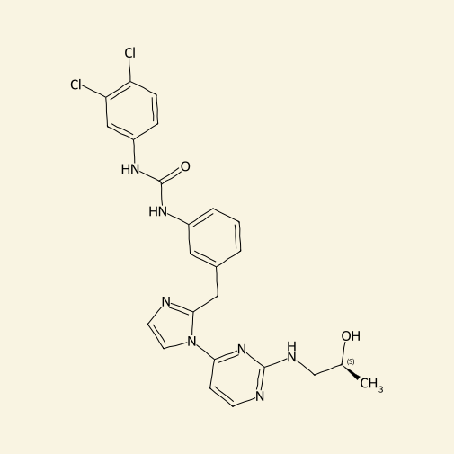 C[C@H](O)CNc1nccc(-n2ccnc2Cc2cccc(NC(=O)Nc3ccc(Cl)c(Cl)c3)c2)n1